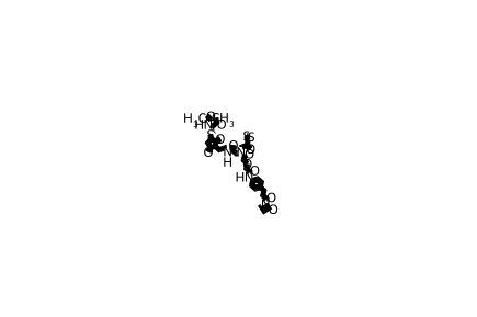 CC(=O)N[C@@H](CSC1CC(=O)C(CCNC(=O)CN(CC(=O)C2SS2)C(=O)COCC(=O)Nc2ccc(CCC(=O)N3CCC3=O)cc2)C1=O)C(C)=O